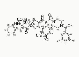 Cc1cc(C)cc(C(=O)N2CCN(C(=O)CNC3CC4CC3CN4C(=O)[C@](Cc3ccccc3)(NC(=O)O)C(C)(C)C)[C@H](c3ccc(Cl)c(Cl)c3)C2)c1